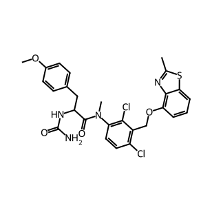 COc1ccc(CC(NC(N)=O)C(=O)N(C)c2ccc(Cl)c(COc3cccc4sc(C)nc34)c2Cl)cc1